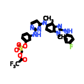 CN(c1ccc2c(c1)nc(Nc1ccc(F)cc1)n2C)c1ccnc(Nc2cccc(OS(=O)(=O)COC(=O)C(F)(F)F)c2)n1